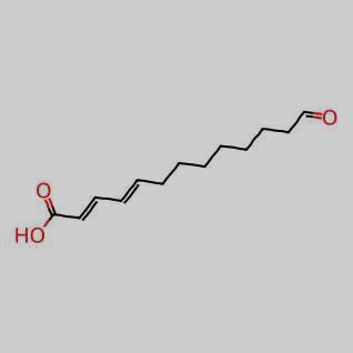 O=CCCCCCCCC=CC=CC(=O)O